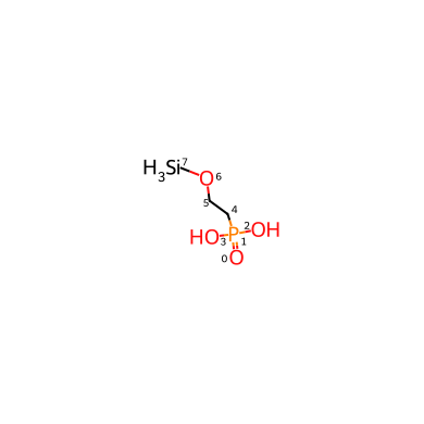 O=P(O)(O)CCO[SiH3]